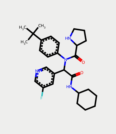 CC(C)(C)c1ccc(N(C(=O)C2CCCN2)C(C(=O)NC2CCCCC2)c2cncc(F)c2)cc1